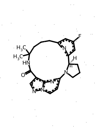 CC1(C)CCCc2cc(F)cc(n2)[C@H]2CCCN2c2ccn3ncc(c3n2)C(=O)N1